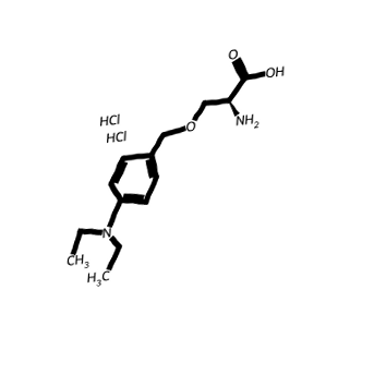 CCN(CC)c1ccc(COC[C@H](N)C(=O)O)cc1.Cl.Cl